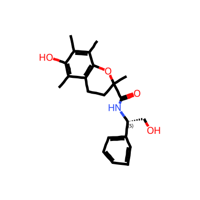 Cc1c(C)c2c(c(C)c1O)CCC(C)(C(=O)N[C@H](CO)c1ccccc1)O2